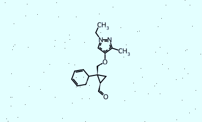 CCn1cc(OC[C@@]2(C3C=CC=CC3)C[C@H]2C=O)c(C)n1